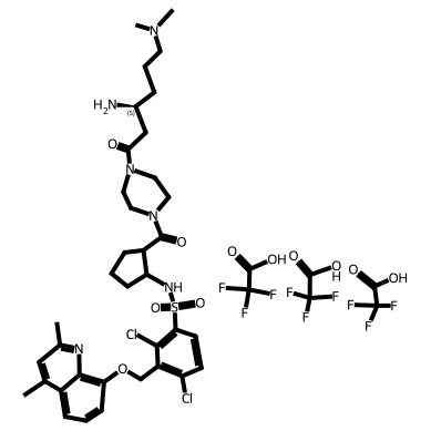 Cc1cc(C)c2cccc(OCc3c(Cl)ccc(S(=O)(=O)NC4CCCC4C(=O)N4CCN(C(=O)C[C@@H](N)CCCN(C)C)CC4)c3Cl)c2n1.O=C(O)C(F)(F)F.O=C(O)C(F)(F)F.O=C(O)C(F)(F)F